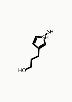 OCCCC1=C[SH](S)C=C1